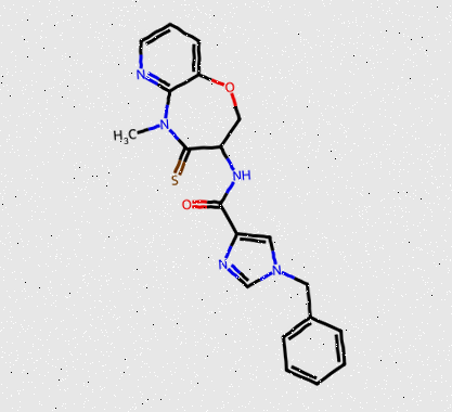 CN1C(=S)C(NC(=O)c2cn(Cc3ccccc3)cn2)COc2cccnc21